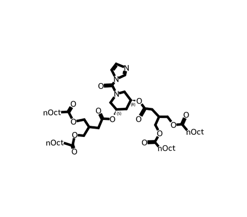 CCCCCCCCC(=O)OCC(COC(=O)CCCCCCCC)CC(=O)O[C@@H]1C[C@H](OC(=O)CC(COC(=O)CCCCCCCC)COC(=O)CCCCCCCC)CN(C(=O)n2ccnc2)C1